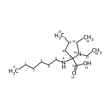 CCCCCCNC(CCC)(C(=O)O)N(CC)CC